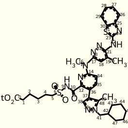 CCOC(=O)CCCCCS(=O)(=O)NC(=O)c1nc(N(C)c2cc(C)c(Nc3nc4ccccc4s3)nn2)ccc1-c1cnn(CC2CCCCC2)c1C